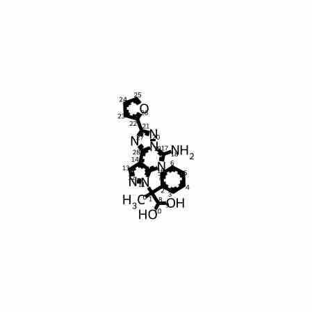 CC(c1ccccc1)(C(O)O)n1ncc2c1nc(N)n1nc(-c3ccco3)nc21